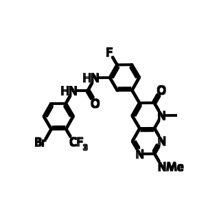 CNc1ncc2cc(-c3ccc(F)c(NC(=O)Nc4ccc(Br)c(C(F)(F)F)c4)c3)c(=O)n(C)c2n1